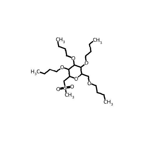 CCCCOCC1OC(CS(C)(=O)=O)C(OCCCC)C(OCCCC)C1OCCCC